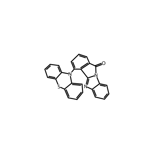 O=C1c2cccc(N3c4ccccc4Sc4ccccc43)c2-c2nc3ccccc3n21